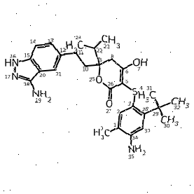 Cc1cc(SC2=C(O)CC(CCc3ccc4[nH]nc(N)c4c3)(C(C)C)OC2=O)c(C(C)(C)C)cc1N